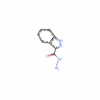 NNC(=O)c1n[nH]c2ccccc12